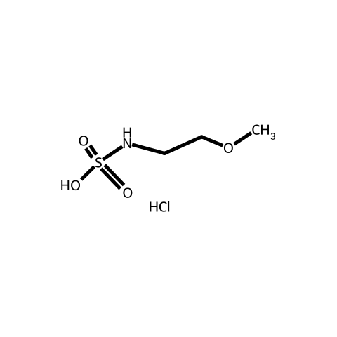 COCCNS(=O)(=O)O.Cl